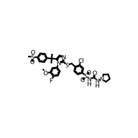 COc1cc(-n2c(C(C)(C)c3ccc(S(C)(=O)=O)cc3)cnc2SCc2ccc(S(=O)(=O)NC(=O)NN3CCCC3)cc2Cl)ccc1F